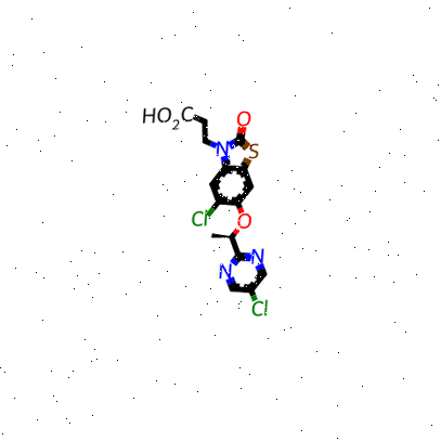 C[C@@H](Oc1cc2sc(=O)n(CCC(=O)O)c2cc1Cl)c1ncc(Cl)cn1